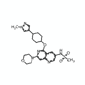 Cn1cc(C2CCC(Oc3nc(N4CCOCC4)cc4ncc(NS(C)(=O)=O)cc34)CC2)cn1